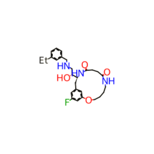 CCc1cccc(CNC[C@@H](O)[C@@H]2Cc3cc(F)cc(c3)OCCCCNC(=O)CCC(=O)N2)c1